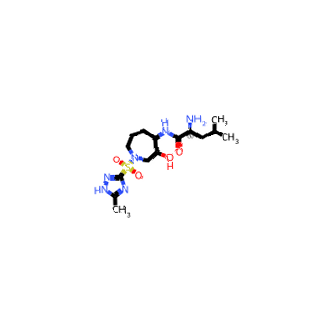 Cc1nc(S(=O)(=O)N2CCCC(NC(=O)[C@@H](N)CC(C)C)C(O)C2)n[nH]1